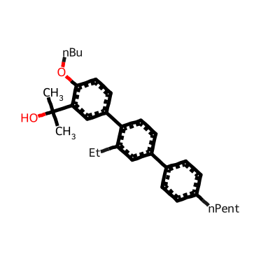 CCCCCc1ccc(-c2ccc(-c3ccc(OCCCC)c(C(C)(C)O)c3)c(CC)c2)cc1